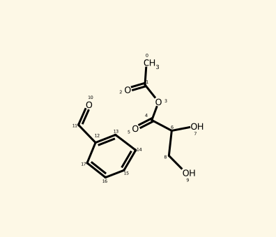 CC(=O)OC(=O)C(O)CO.O=Cc1ccccc1